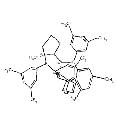 Cc1cc(C)cc(P(c2cc(C)cc(C)c2)[C@H](NC2C=CC2)C2CCC[C@]2(C)P(c2cc(C(F)(F)F)cc(C(F)(F)F)c2)c2cc(C(F)(F)F)cc(C(F)(F)F)c2)c1